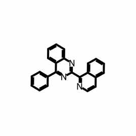 c1ccc(-c2nc(-c3nccc4ccccc34)nc3ccccc23)cc1